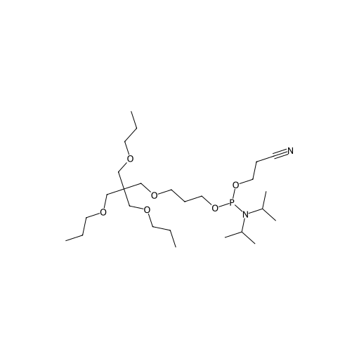 CCCOCC(COCCC)(COCCC)COCCCOP(OCCC#N)N(C(C)C)C(C)C